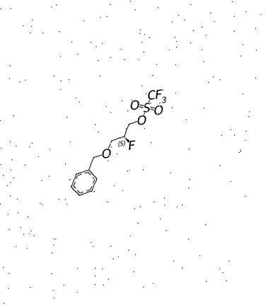 O=S(=O)(OC[C@@H](F)COCc1ccccc1)C(F)(F)F